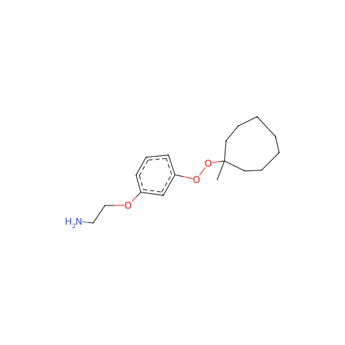 CC1(OOc2cccc(OCCN)c2)CCCCCCC1